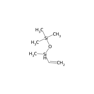 C=C[SiH](C)O[Si](C)(C)C